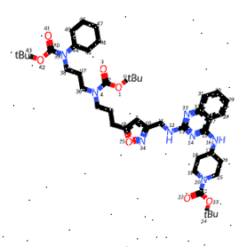 CC(C)(C)OC(=O)N(CCCc1cc(CNc2nc(NC3CCN(C(=O)OC(C)(C)C)CC3)c3ccccc3n2)no1)CCCN(C(=O)OC(C)(C)C)C1CCCCC1